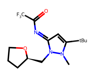 Cn1c(C(C)(C)C)cc(=NC(=O)C(F)(F)F)n1C[C@H]1CCCO1